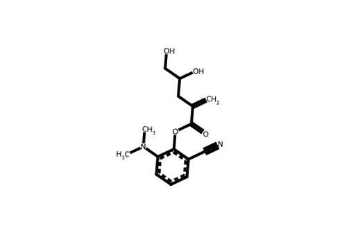 C=C(CC(O)CO)C(=O)Oc1c(C#N)cccc1N(C)C